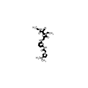 CCNC(=O)C(C#N)=c1sc(=CNc2cccc(NC(=O)CN3CCC(N(C)C)C3)n2)c(=O)n1CC